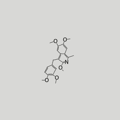 COc1ccc(Cc2c(OC)nc(C)c3cc(OC)c(OC)cc23)cc1OC